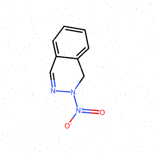 O=[N+]([O-])N1Cc2ccccc2C=N1